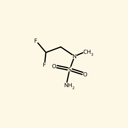 CN(CC(F)F)S(N)(=O)=O